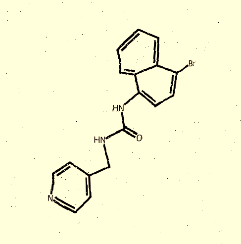 O=C(NCc1ccncc1)Nc1ccc(Br)c2ccccc12